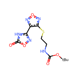 CC(C)(C)OC(=O)NCCSc1nonc1-c1noc(=O)[nH]1